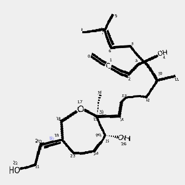 C=C=CC(O)(CC=C(C)C)C(C)CCC[C@]1(C)OC/C(=C/CO)CC[C@H]1O